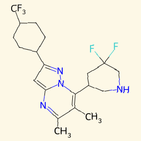 Cc1nc2cc(C3CCC(C(F)(F)F)CC3)nn2c(C2CNCC(F)(F)C2)c1C